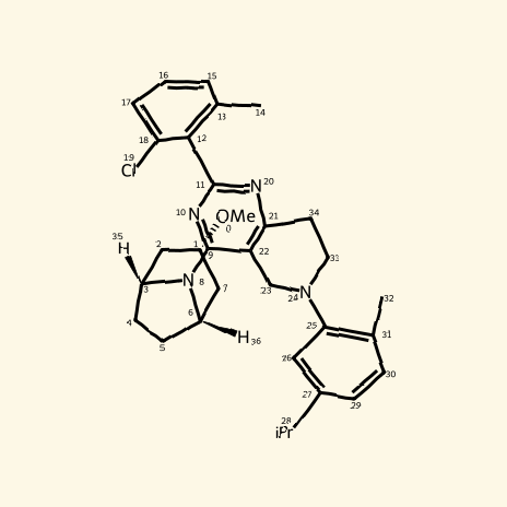 CO[C@H]1C[C@H]2CC[C@@H](C1)N2c1nc(-c2c(C)cccc2Cl)nc2c1CN(c1cc(C(C)C)ccc1C)CC2